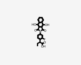 CCC(C(=O)O)c1ccc(N2C(=O)c3c(c(O)c4ccccc4c3O)C2=O)cc1F